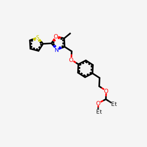 CCOC(CC)OCCc1ccc(OCc2nc(-c3cccs3)oc2C)cc1